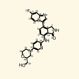 O=C1NCc2c(-c3cnc4cc(F)ccn34)ccc(Nc3ccc(N4CCO[C@H](CO)C4)cn3)c21